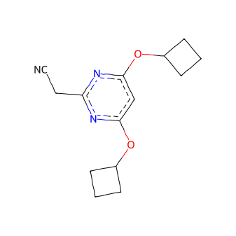 N#CCc1nc(OC2CCC2)cc(OC2CCC2)n1